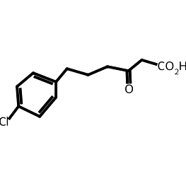 O=C(O)CC(=O)CCCc1ccc(Cl)cc1